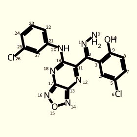 NN=C(c1cc(Cl)ccc1O)c1nc2nonc2nc1Nc1cccc(Cl)c1